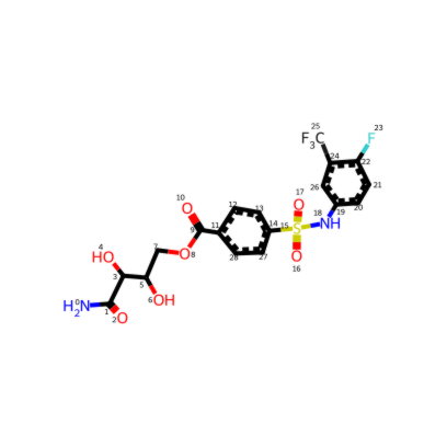 NC(=O)C(O)C(O)COC(=O)c1ccc(S(=O)(=O)Nc2ccc(F)c(C(F)(F)F)c2)cc1